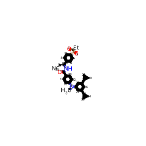 CCS(=O)(=O)c1ccc([C@H](CC#N)NC(=O)c2ccc(N(C)c3cc(C4CC4)cc(C4CC4)c3)cc2)cc1